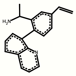 C=Cc1ccc(-c2cccc3cccnc23)c(C(C)N)c1